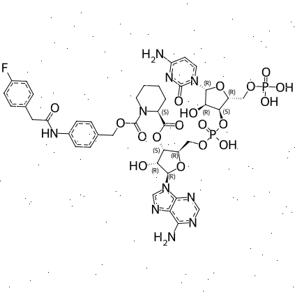 Nc1ccn([C@@H]2O[C@H](COP(=O)(O)O)[C@@H](OP(=O)(O)OC[C@H]3O[C@@H](n4cnc5c(N)ncnc54)[C@H](O)[C@@H]3OC(=O)[C@@H]3CCCCN3C(=O)OCc3ccc(NC(=O)Cc4ccc(F)cc4)cc3)[C@H]2O)c(=O)n1